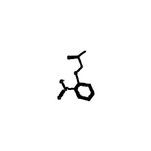 CC(=O)COc1ccccc1[N+](=O)[O-]